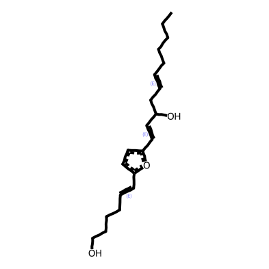 CCCCC/C=C/CC(O)/C=C/c1ccc(/C=C/CCCCO)o1